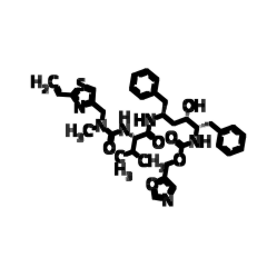 C=Cc1nc(CN(C)C(=O)N[C@H](C(=O)N[C@@H](Cc2ccccc2)C[C@H](O)[C@H](Cc2ccccc2)NC(=O)OCc2cnco2)C(C)C)cs1